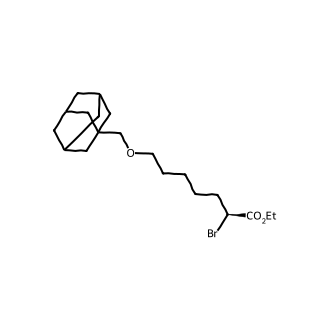 CCOC(=O)[C@@H](Br)CCCCCOCC12CC3CC(CC(C3)C1)C2